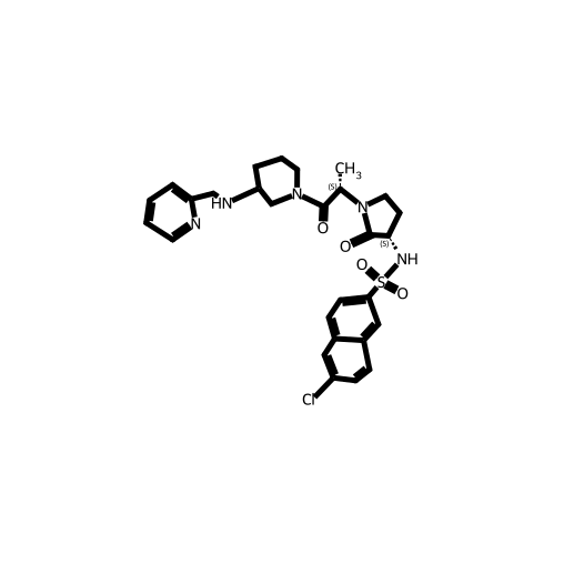 C[C@@H](C(=O)N1CCCC(NCc2ccccn2)C1)N1CC[C@H](NS(=O)(=O)c2ccc3cc(Cl)ccc3c2)C1=O